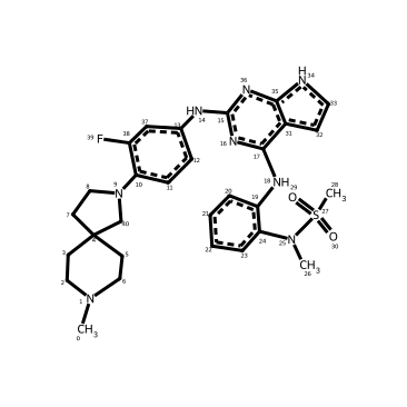 CN1CCC2(CC1)CCN(c1ccc(Nc3nc(Nc4ccccc4N(C)S(C)(=O)=O)c4cc[nH]c4n3)cc1F)C2